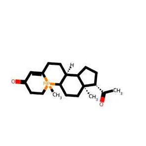 CC(=O)[C@H]1CCC2[C@@H]3CCC4=CC(=O)CC[PH]4(C)C3CC[C@@]21C